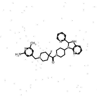 Cc1cc(CN2CCC(F)(C(=O)N3CCC(N4c5ncccc5NC4c4ccccn4)CC3)CC2)cc(N)n1